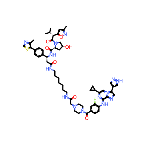 Cc1cc([C@H](C(=O)N2C[C@H](O)C[C@H]2C(=O)N[C@@H](CC(=O)NCCCCCCCNC(=O)CN2CCN(C(=O)c3ccc(Nc4nc(C5CC5)cn5c(-c6cn[nH]c6)cnc45)c(F)c3)CC2)c2ccc(-c3scnc3C)cc2)C(C)C)on1